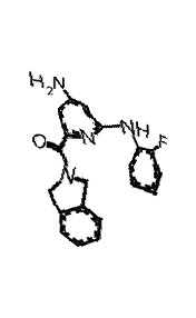 Nc1cc(Nc2ccccc2F)nc(C(=O)N2Cc3ccccc3C2)c1